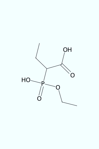 CCOP(=O)(O)C(CC)C(=O)O